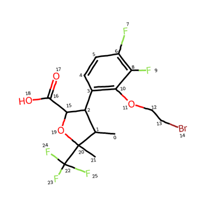 CC1C(c2ccc(F)c(F)c2OCCBr)C(C(=O)O)OC1(C)C(F)(F)F